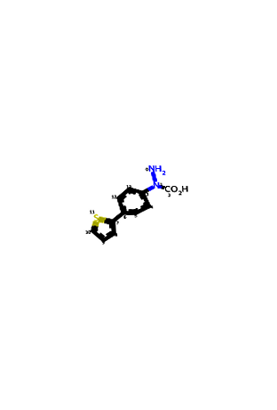 NN(C(=O)O)c1ccc(-c2cccs2)cc1